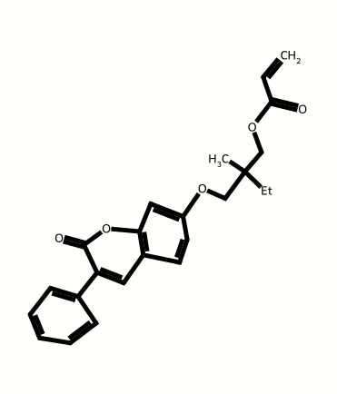 C=CC(=O)OCC(C)(CC)COc1ccc2cc(-c3ccccc3)c(=O)oc2c1